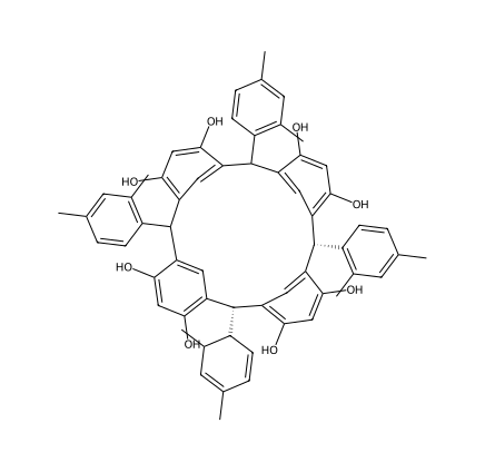 CC1=CC(C)C([C@@H]2c3cc(c(O)cc3O)C(c3ccc(C)cc3C)c3cc(c(O)cc3O)C(c3ccc(C)cc3C)c3cc(c(O)cc3O)[C@H](c3ccc(C)cc3C)c3cc2c(O)cc3O)C=C1